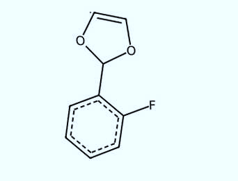 Fc1ccccc1C1O[C]=CO1